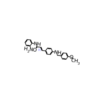 COc1ccc(CNc2ccc(/C=C/C(=O)Nc3ccccc3N)cc2)cc1